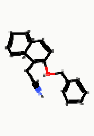 N#CCc1c(OCc2ccccc2)ccc2ccccc12